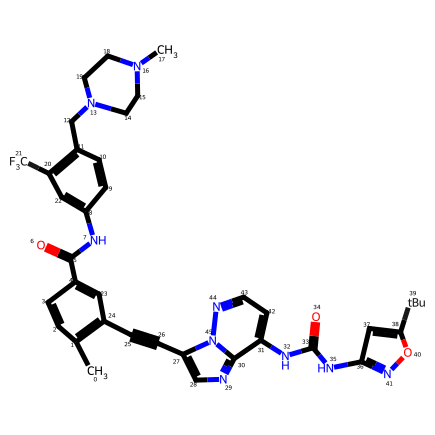 Cc1ccc(C(=O)Nc2ccc(CN3CCN(C)CC3)c(C(F)(F)F)c2)cc1C#Cc1cnc2c(NC(=O)Nc3cc(C(C)(C)C)on3)ccnn12